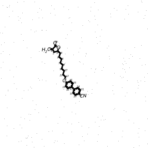 C=C1CC(CCCCCCCCCOc2ccc(-c3ccc(C#N)cc3)cc2)OC1=O